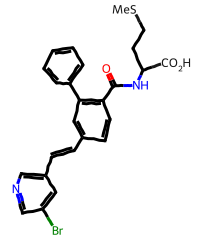 CSCCC(NC(=O)c1ccc(C=Cc2cncc(Br)c2)cc1-c1ccccc1)C(=O)O